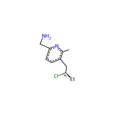 CC[C@@H](Cl)Cc1ccc(CN)nc1C